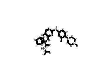 Cc1cc(Nc2ncc(F)c(NC3(C(=O)NC(C)C)CC4C=CC3C4)n2)ccc1N1CCN(C)CC1